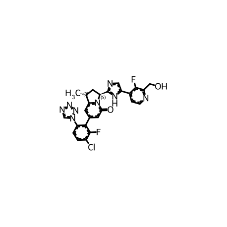 C[C@@H]1C[C@@H](c2ncc(-c3ccnc(CO)c3F)[nH]2)n2c1cc(-c1c(-n3cnnn3)ccc(Cl)c1F)cc2=O